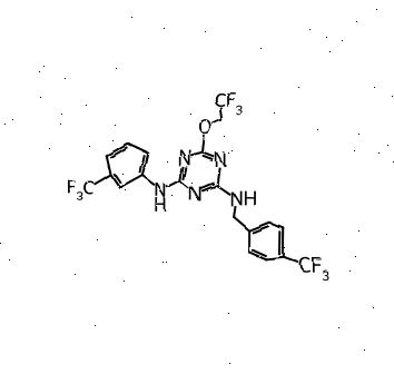 FC(F)(F)COc1nc(NCc2ccc(C(F)(F)F)cc2)nc(Nc2cccc(C(F)(F)F)c2)n1